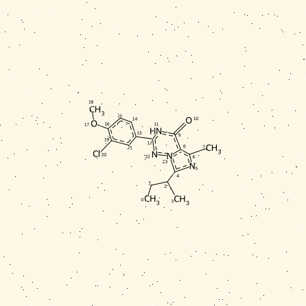 CCC(C)c1nc(C)c2c(=O)[nH]c(-c3ccc(OC)c(Cl)c3)nn12